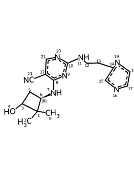 CC1(C)C(O)C[C@H]1Nc1nc(NCCc2cnccn2)ncc1C#N